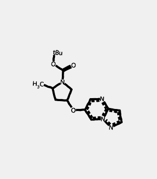 CC1CC(Oc2cnc3ccnn3c2)CN1C(=O)OC(C)(C)C